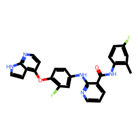 Cc1cc(F)ccc1NC(=O)c1cccnc1Nc1ccc(Oc2ccnc3[nH]ccc23)c(F)c1